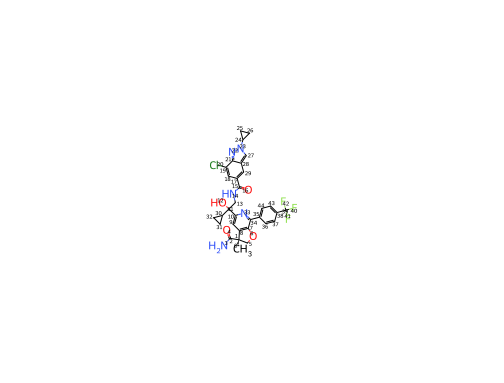 C[C@]1(C(N)=O)COc2c1cc(C(O)(CNC(=O)c1cc(Cl)c3nn(C4CC4)cc3c1)C1CC1)nc2-c1ccc(C(F)(F)F)cc1